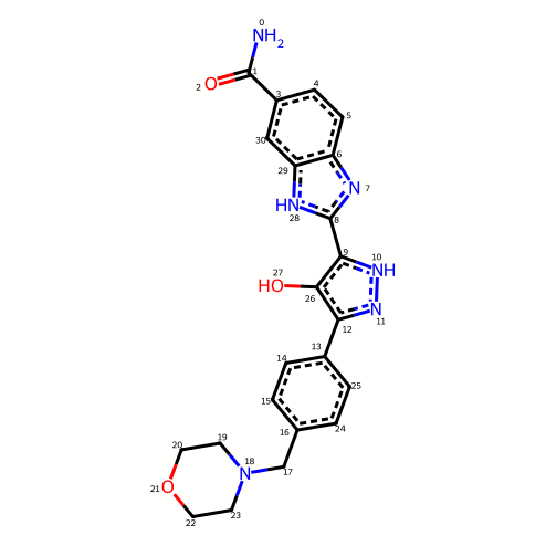 NC(=O)c1ccc2nc(-c3[nH]nc(-c4ccc(CN5CCOCC5)cc4)c3O)[nH]c2c1